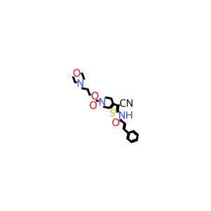 N#Cc1c(NC(=O)/C=C/c2ccccc2)sc2c1CCN(C(=O)OCCCN1CCOCC1)C2